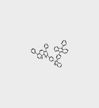 c1ccc(-c2c3ccccc3c(-c3ccc(-n4c(-c5ccc(-c6cc(-c7ccccc7)c7ccc8c(-c9ccccc9)ccnc8c7n6)cc5)nc5ccccc54)cc3)c3ccccc23)cc1